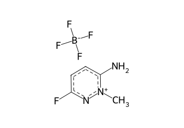 C[n+]1nc(F)ccc1N.F[B-](F)(F)F